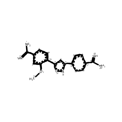 COc1cc(C(=N)N)ccc1-c1cc(-c2ccc(C(=N)N)cc2)no1